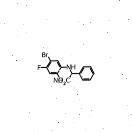 C[C@@H](Nc1cc(Br)c(F)cc1[N+](=O)[O-])c1ccccc1